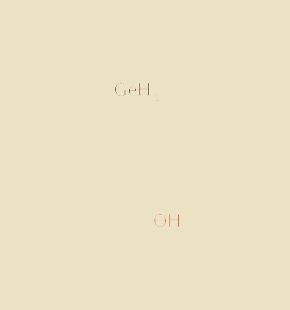 OC[CH2][GeH3]